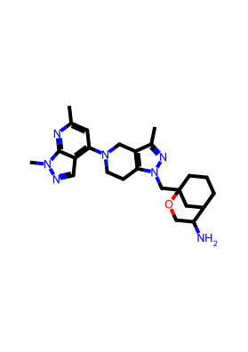 Cc1cc(N2CCc3c(c(C)nn3CC34CCCC(C3)C(N)CO4)C2)c2cnn(C)c2n1